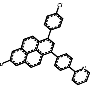 CC(C)(C)c1cc2ccc3c(-c4ccc(Cl)cc4)cc(-c4ccc(-c5ccccn5)cc4)c4ccc(c1)c2c34